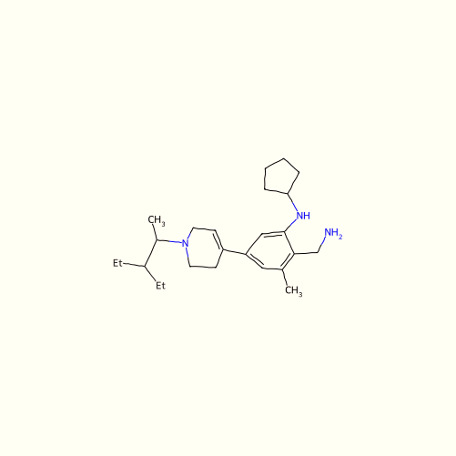 CCC(CC)C(C)N1CC=C(c2cc(C)c(CN)c(NC3CCCC3)c2)CC1